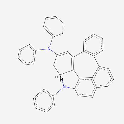 C1=CCCC(N(C2=CC3=C4c5c(ccc6cccc(c56)-c5ccccc53)N(c3ccccc3)[C@@H]4C2)c2ccccc2)=C1